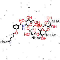 CCCCCC/C=C\CCCOc1cccc(C(=O)N[C@H]2[C@H](O[C@H]3[C@H](O)[C@@H](NC(C)=O)[C@H](O[C@H]4[C@H](O)[C@@H](NC(C)=O)[C@H](O[C@H]5[C@H](O)[C@@H](NC(C)=O)C(O)O[C@@H]5CO)O[C@@H]4CO)O[C@@H]3CO)O[C@H](CO)[C@@H](O)[C@@H]2O)c1